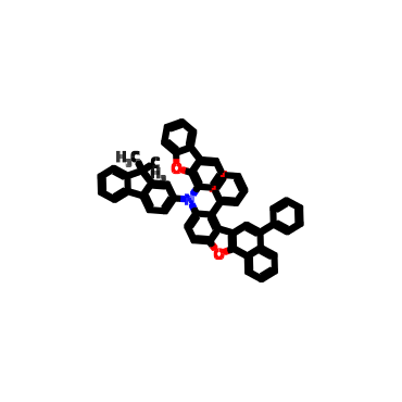 CC1(C)c2ccccc2-c2ccc(N(c3ccc4oc5c6ccccc6c(-c6ccccc6)cc5c4c3-c3ccccc3)c3cccc4c3oc3ccccc34)cc21